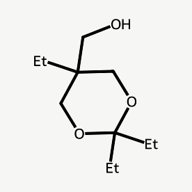 CCC1(CO)COC(CC)(CC)OC1